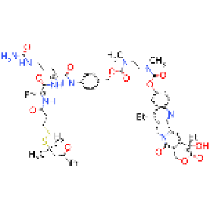 CCc1c2c(nc3ccc(OC(=O)N(C)CCN(C)C(=O)OCc4ccc(NC(=O)[C@H](CCCNC(N)=O)NC(=O)[C@@H](NC(=O)CCSSC(C)(C)CC(=O)C(C)C)C(C)C)cc4)cc13)-c1cc3c(c(=O)n1C2)COC(=O)[C@]3(O)CC